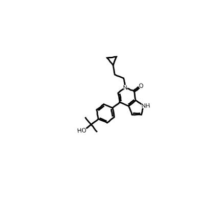 CC(C)(O)c1ccc(-c2cn(CCC3CC3)c(=O)c3[nH]ccc23)cc1